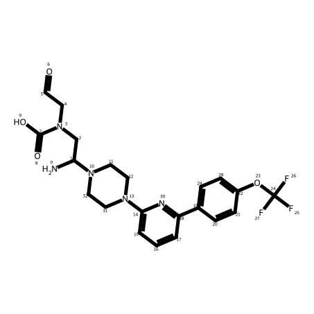 NC(CN(CC=O)C(=O)O)N1CCN(c2cccc(-c3ccc(OC(F)(F)F)cc3)n2)CC1